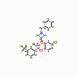 CC(Oc1ccc(Cl)cc1OC1CN(Cc2ccccc2)C1)c1cccc(C(F)(F)F)c1